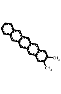 Cc1cc2cc3cc4cc5ccccc5cc4cc3cc2cc1C